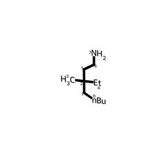 CCCCCC(C)(CC)CCN